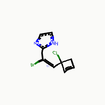 ClC1(/C=C(/Br)c2ncc[nH]2)C=CC1